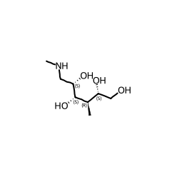 CNC[C@H](O)[C@@H](O)[C@H](C)[C@H](O)CO